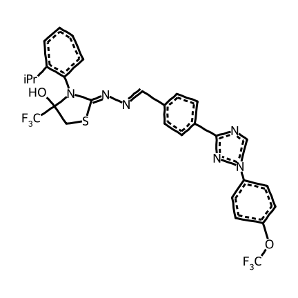 CC(C)c1ccccc1N1C(=NN=Cc2ccc(-c3ncn(-c4ccc(OC(F)(F)F)cc4)n3)cc2)SCC1(O)C(F)(F)F